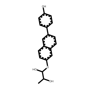 CC(O)C(O)Oc1ccc2cc(-c3ccc(O)cc3)ccc2c1